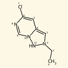 CCN1C=C2C=C(Cl)N=CN2N1